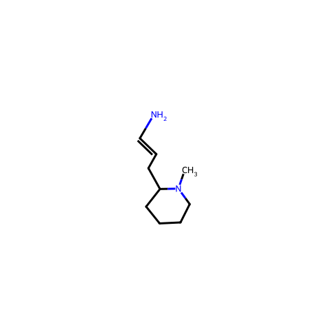 CN1CCCCC1CC=CN